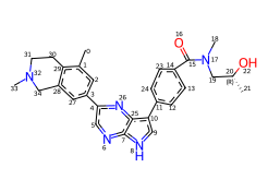 Cc1cc(-c2cnc3[nH]cc(-c4ccc(C(=O)N(C)C[C@@H](C)O)cc4)c3n2)cc2c1CCN(C)C2